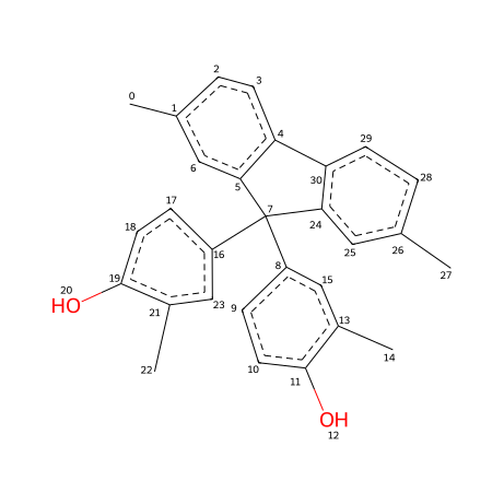 Cc1ccc2c(c1)C(c1ccc(O)c(C)c1)(c1ccc(O)c(C)c1)c1cc(C)ccc1-2